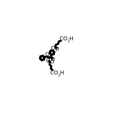 O=C(O)CCCCC(=O)Oc1ccc2c(=O)c(OC(=O)CCCCC(=O)O)c(-c3ccccc3)oc2c1